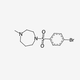 CN1CCCN(S(=O)(=O)c2ccc(Br)cc2)CC1